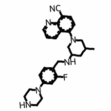 CC1CC(NCc2ccc(N3CCNCC3)cc2F)CN(c2ccc(C#N)c3ncccc23)C1